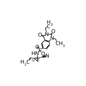 C=C[C@@H]1C[C@@]1(C#N)NS(=O)(=O)c1ccc2c(c1)c(=O)n(CC)c(=O)n2CC